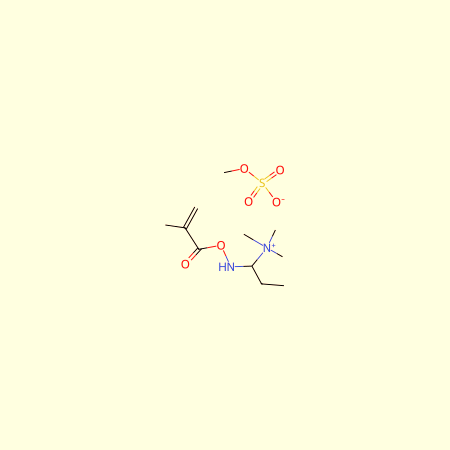 C=C(C)C(=O)ONC(CC)[N+](C)(C)C.COS(=O)(=O)[O-]